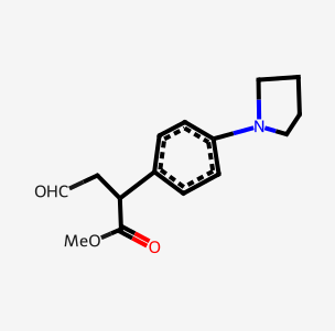 COC(=O)C(CC=O)c1ccc(N2CCCC2)cc1